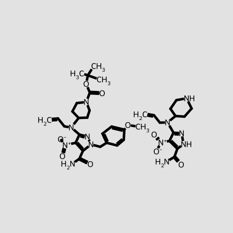 C=CCN(c1n[nH]c(C(N)=O)c1[N+](=O)[O-])C1CCNCC1.C=CCN(c1nn(Cc2ccc(OC)cc2)c(C(N)=O)c1[N+](=O)[O-])C1CCN(C(=O)OC(C)(C)C)CC1